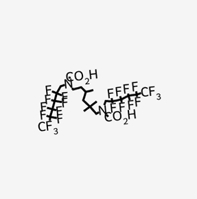 CC(CCN(CC(F)(F)C(F)(F)C(F)(F)C(F)(F)C(F)(F)F)C(=O)O)CC(C)(C)CN(CC(F)(F)C(F)(F)C(F)(F)C(F)(F)C(F)(F)F)C(=O)O